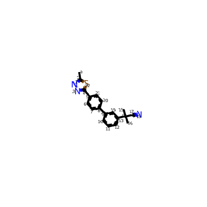 Cc1nnc(-c2ccc(-c3cccc(C(C)(C)C#N)c3)cc2)s1